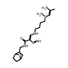 C/C(N)=C/N(N)CCCCN/C=C(\N=N)C(=O)NCC1CC2CCC1O2